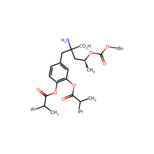 CC(C)C(C)C(=O)Oc1ccc(CC(N)(C[C@H](C)OC(=O)OC(C)(C)C)C(=O)O)cc1OC(=O)C(C)C(C)C